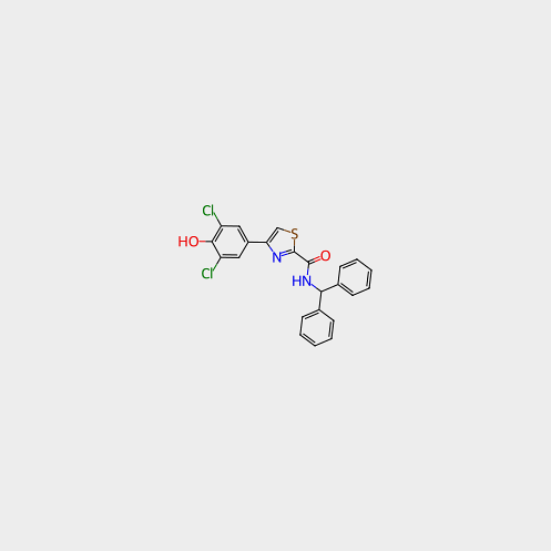 O=C(NC(c1ccccc1)c1ccccc1)c1nc(-c2cc(Cl)c(O)c(Cl)c2)cs1